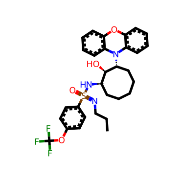 CCCN=S(=O)(N[C@@H]1CCCCC[C@@H](N2c3ccccc3Oc3ccccc32)[C@@H]1O)c1ccc(OC(F)(F)F)cc1